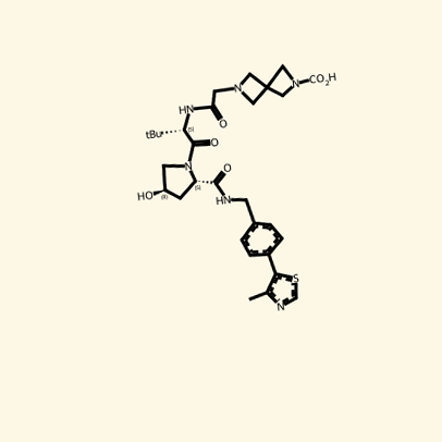 Cc1ncsc1-c1ccc(CNC(=O)[C@@H]2C[C@@H](O)CN2C(=O)[C@@H](NC(=O)CN2CC3(C2)CN(C(=O)O)C3)C(C)(C)C)cc1